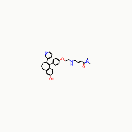 CN(C)C(=O)/C=C/CNCCOc1ccc(C2=C(c3cccnc3)CCCc3cc(O)ccc32)cc1